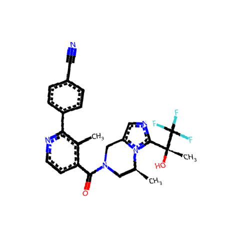 Cc1c(C(=O)N2Cc3cnc([C@@](C)(O)C(F)(F)F)n3[C@@H](C)C2)ccnc1-c1ccc(C#N)cc1